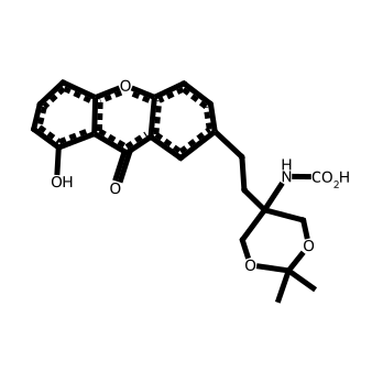 CC1(C)OCC(CCc2ccc3oc4cccc(O)c4c(=O)c3c2)(NC(=O)O)CO1